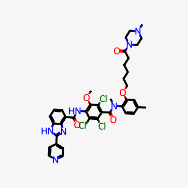 COc1c(Cl)c(C(=O)N(C)c2ccc(C)cc2OCCCCCC(=O)N2CCN(C)CC2)c(Cl)c(Cl)c1NC(=O)c1cccc2[nH]c(-c3ccncc3)nc12